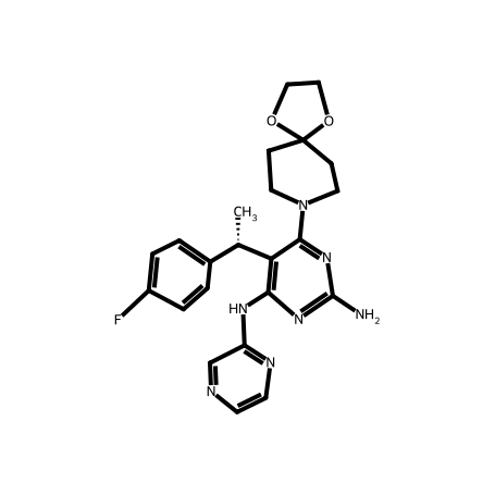 C[C@@H](c1ccc(F)cc1)c1c(Nc2cnccn2)nc(N)nc1N1CCC2(CC1)OCCO2